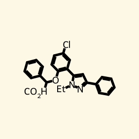 CCn1nc(-c2ccccc2)cc1-c1cc(Cl)ccc1OC(C(=O)O)c1ccccc1